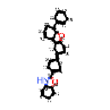 C1=CC2NC(C3CCC(C4CCC5OC6C(C7=CCCCC7)CC=CC6C5C4)CC3)OC2CC1